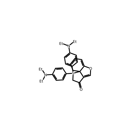 CCN(CC)c1ccc(S2(c3ccc(N(CC)CC)cc3)CC(=O)C3=COC4=CC=CCC432)cc1